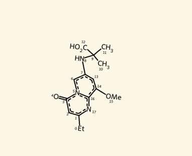 CCc1cc(=O)n2cc(NC(C)(C)C(=O)O)cc(OC)c2n1